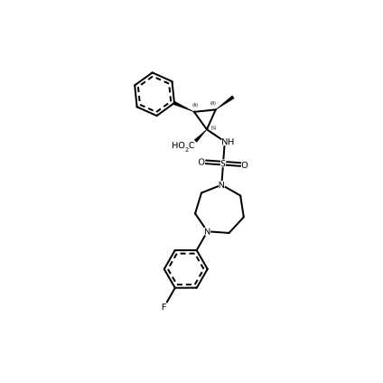 C[C@@H]1[C@H](c2ccccc2)[C@]1(NS(=O)(=O)N1CCCN(c2ccc(F)cc2)CC1)C(=O)O